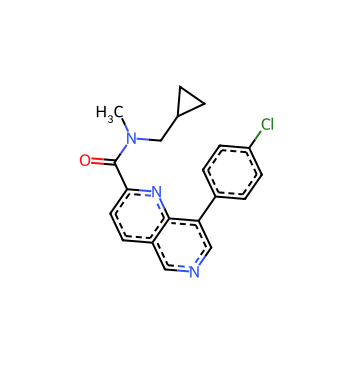 CN(CC1CC1)C(=O)c1ccc2cncc(-c3ccc(Cl)cc3)c2n1